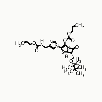 C=CCOC(=O)NCc1cn(C2=C(OC(=O)OCC=C)N3C(=O)[C@H](CO[Si](C)(C)C(C)(C)C)[C@H]3S2)cn1